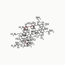 CC(C)C[C@H](NC(=O)[C@H](C)NC(=O)[C@@H](N)CCCNC(=N)N)C(=O)N[C@H](C(=O)N[C@@H](CCCCN)C(=O)NC(N[C@H](C(=O)N[C@@H](CCC(N)=O)C(=O)N[C@@H](Cc1ccccc1)C(=O)N[C@H](C(=O)N[C@@H](CCC(N)=O)C(=O)N[C@@H](CO)C(=O)N[C@@H](CCCCN)C(=O)NCC(=O)N[C@@H](CCCNC(=N)N)C(=O)O)C(C)C)C(C)C)c1ccccc1)[C@@H](C)O